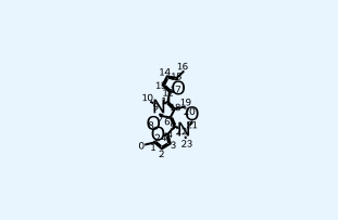 Cc1ccc(C2=C3C(=O)N(C)C(c4ccc(C)o4)=C3COCN2C)o1